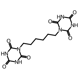 O=c1[nH]c(=O)n(CCCCCCn2c(=O)[nH]c(=O)[nH]c2=O)c(=O)[nH]1